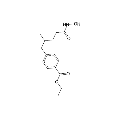 CCOC(=O)c1ccc(CC(C)CCC(=O)NO)cc1